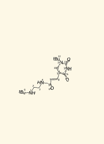 CC(C)(C)NCCNC(=O)/C=C/c1cn(C(C)(C)C)c(=O)[nH]c1=O